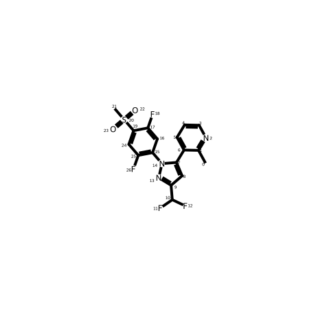 Cc1ncccc1-c1cc(C(F)F)nn1-c1cc(F)c(S(C)(=O)=O)cc1F